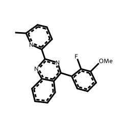 COc1cccc(-c2nc(-c3cccc(C)n3)nc3ccccc23)c1F